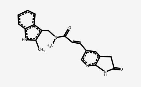 Cc1[nH]c2ccccc2c1CN(C)C(=O)/C=C/c1cnc2c(c1)CC(=O)N2